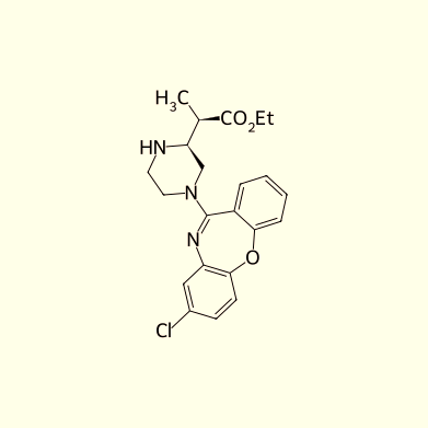 CCOC(=O)[C@H](C)[C@H]1CN(C2=Nc3cc(Cl)ccc3Oc3ccccc32)CCN1